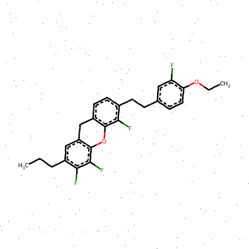 CCCc1cc2c(c(F)c1F)Oc1c(ccc(CCc3ccc(OCC)c(F)c3)c1F)C2